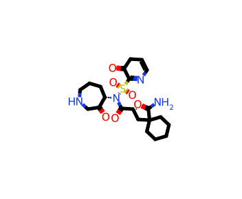 NC(=O)C1(C[CH]C(=O)N([C@H]2CCCNCC2=O)S(=O)(=O)C2=NC=CCC2=O)CCCCC1